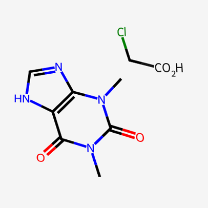 Cn1c(=O)c2[nH]cnc2n(C)c1=O.O=C(O)CCl